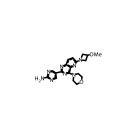 COC1CN(c2ccc3nc(-c4cnc(N)nc4)nc(N4CCOCC4)c3n2)C1